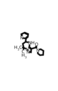 CC1(C)CC(c2ccccn2)Nc2c(C(=O)N3CCCCC3)cnn21